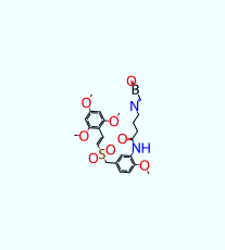 COc1cc(OC)c(/C=C/S(=O)(=O)Cc2ccc(OC)c(NC(=O)CCC/N=C/B=O)c2)c(OC)c1